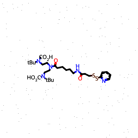 CC(C)(C)N(CCN(CCN(C(=O)O)C(C)(C)C)C(=O)CCCCCNC(=O)CCSSc1ccccn1)C(=O)O